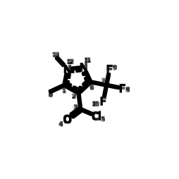 Cc1c(C(=O)Cl)c(C(F)(F)F)nn1C